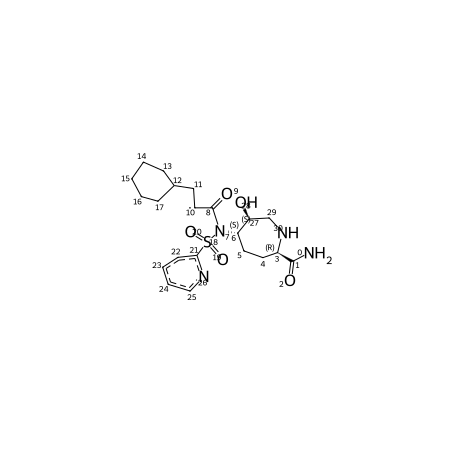 NC(=O)[C@H]1CC[C@H](N(C(=O)[CH]CC2CCCCC2)S(=O)(=O)c2ccccn2)[C@@H](O)CN1